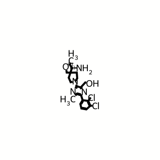 Cc1nc(N2CCC3(CC2)CO[C@H](C)[C@H]3N)c(CO)nc1-c1cccc(Cl)c1Cl